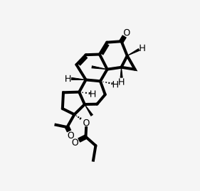 CCC(=O)O[C@]1(C(C)=O)CC[C@H]2[C@@H]3C=CC4=CC(=O)[C@@H]5C[C@@H]5[C@]4(C)[C@H]3CC[C@@]21C